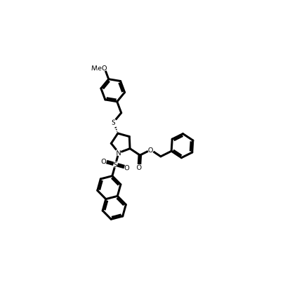 COc1ccc(CS[C@@H]2CC(C(=O)OCc3ccccc3)N(S(=O)(=O)c3ccc4ccccc4c3)C2)cc1